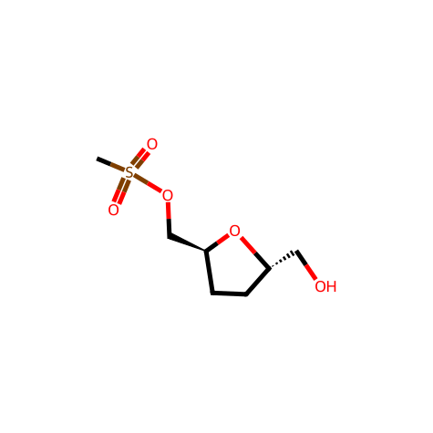 CS(=O)(=O)OC[C@@H]1CC[C@@H](CO)O1